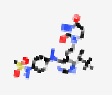 CC(C)(C)c1cc(N2CCC(=O)NC2=O)cc2c(Nc3ccc(NS(C)(=O)=O)cc3)ncnc12